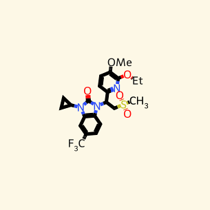 CCOc1nc(C(CS(C)(=O)=O)n2c(=O)n(C3CC3)c3cc(C(F)(F)F)ccc32)ccc1OC